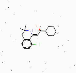 CC1(C)Cc2cccc(Cl)c2C(=CC(=O)C2CCCCC2)N1